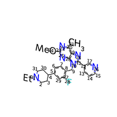 CCN1CCC(c2ccc(Cn3c(-c4cccnc4)nc4c(C)nc(OC)nc43)c(F)c2)CC1